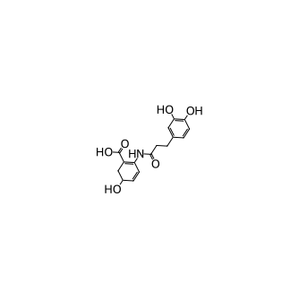 O=C(CCc1ccc(O)c(O)c1)NC1=C(C(=O)O)CC(O)C=C1